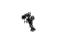 C[C@@H]1CN(C2CCC(n3cc(Nc4ncc(-c5ccc(Cl)c(O[C@@H](C)Cn6cnnn6)c5)cn4)c(OCC4CCOCC4)n3)CC2)C[C@H](C)O1